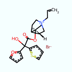 C=CC[N+]12CCC(CC1)[C@@H](OC(=O)C(O)(c1ccco1)c1cccs1)C2.[Br-]